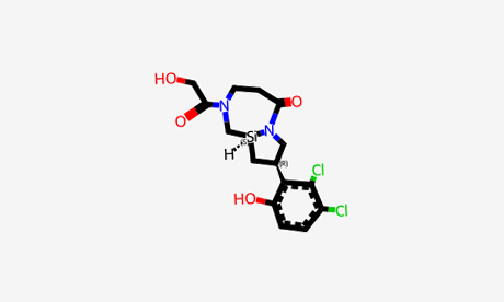 O=C(CO)N1CCC(=O)N2C[C@@H](c3c(O)ccc(Cl)c3Cl)C[Si@H]2C1